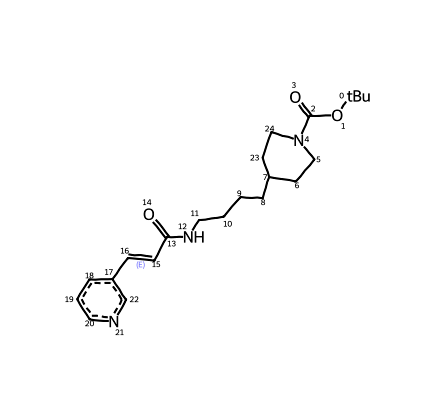 CC(C)(C)OC(=O)N1CCC(CCCCNC(=O)/C=C/c2cccnc2)CC1